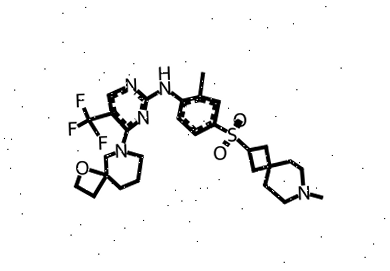 Cc1cc(S(=O)(=O)C2CC3(CCN(C)CC3)C2)ccc1Nc1ncc(C(F)(F)F)c(N2CCCC3(CCO3)C2)n1